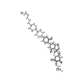 CCCCCC1CCC(C2CCC(c3ccc(-c4cc(F)c(C(F)(F)Oc5cc(F)c(SCC)c(F)c5)c(F)c4)c(F)c3)CC2)CC1